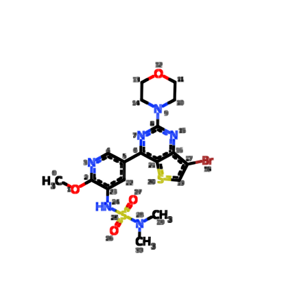 COc1ncc(-c2nc(N3CCOCC3)nc3c(Br)csc23)cc1NS(=O)(=O)N(C)C